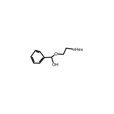 CCCCCCCCOC(O)c1ccccc1